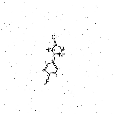 O=c1[nH]c(-c2ccc(F)cc2)no1